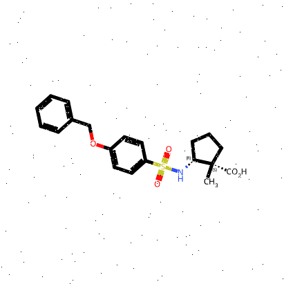 C[C@]1(C(=O)O)CCC[C@H]1NS(=O)(=O)c1ccc(OCc2ccccc2)cc1